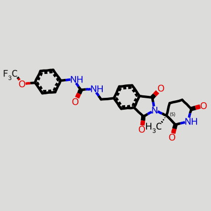 C[C@]1(N2C(=O)c3ccc(CNC(=O)Nc4ccc(OC(F)(F)F)cc4)cc3C2=O)CCC(=O)NC1=O